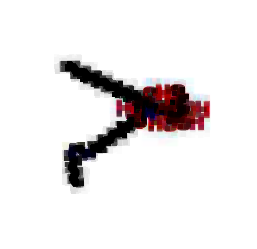 CCCCC/C=C\C/C=C\CCCCCCCCCOCN[C@@H](COC1OC(CO)C(O)C(O)C1O)[C@H](O)[C@H](O)CCCCCCCCCCCCCC